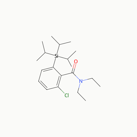 CCN(CC)C(=O)c1c(Cl)cccc1[Si](C(C)C)(C(C)C)C(C)C